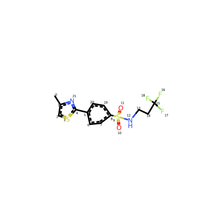 Cc1csc(-c2ccc(S(=O)(=O)NCCC(F)(F)F)cc2)n1